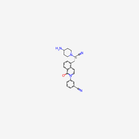 N#Cc1cccc(-n2ccc3c(C[C@@H](C#N)N4CCC(N)CC4)cccc3c2=O)c1